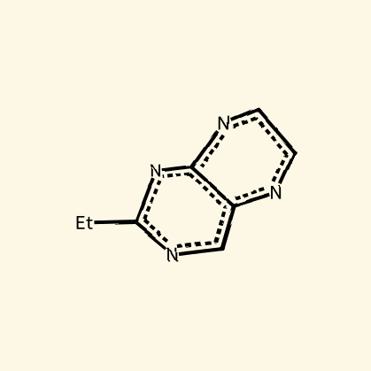 [CH2]Cc1ncc2nccnc2n1